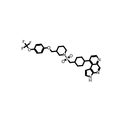 O=S(=O)(CC1CCC(c2ccnc3cnc4[nH]ccc4c23)CC1)N1CCCC(COc2ccc(OC(F)(F)F)cc2)C1